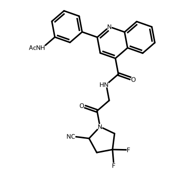 CC(=O)Nc1cccc(-c2cc(C(=O)NCC(=O)N3CC(F)(F)CC3C#N)c3ccccc3n2)c1